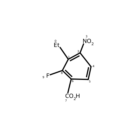 CCc1c([N+](=O)[O-])ccc(C(=O)O)c1F